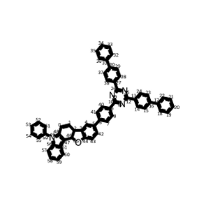 C1=CC2c3cc(-c4ccc(-c5nc(-c6ccc(-c7ccccc7)cc6)nc(-c6ccc(-c7ccccc7)cc6)n5)cc4)ccc3OC2c2c1n(-c1ccccc1)c1ccccc21